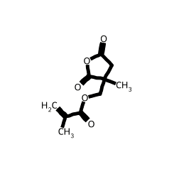 C=C(C)C(=O)OCC1(C)CC(=O)OC1=O